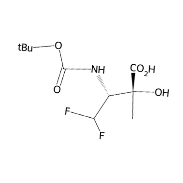 CC(C)(C)OC(=O)N[C@@H](C(F)F)[C@@](C)(O)C(=O)O